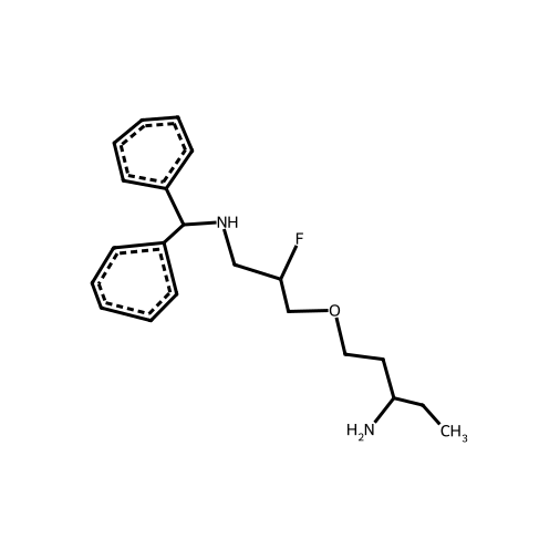 CCC(N)CCOCC(F)CNC(c1ccccc1)c1ccccc1